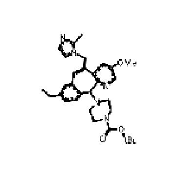 COc1cnc2c(c1)C(Cn1ccnc1C)=Cc1cc(CI)ccc1C2N1CCN(C(=O)OC(C)(C)C)CC1